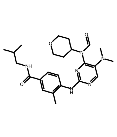 Cc1cc(C(=O)NCC(C)C)ccc1Nc1ncc(N(C)C)c(N(C=O)C2CCOCC2)n1